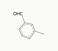 Cc1cc[c]c(C=O)c1